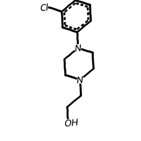 OCCN1CCN(c2cccc(Cl)c2)CC1